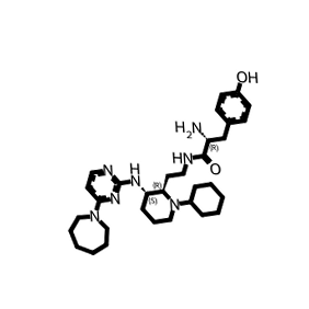 N[C@H](Cc1ccc(O)cc1)C(=O)NCC[C@@H]1[C@@H](Nc2nccc(N3CCCCCC3)n2)CCCN1C1CCCCC1